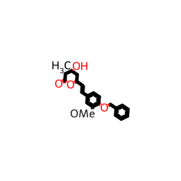 COc1cc(C=CC2CC(C)(O)CC(=O)O2)ccc1OCc1ccccc1